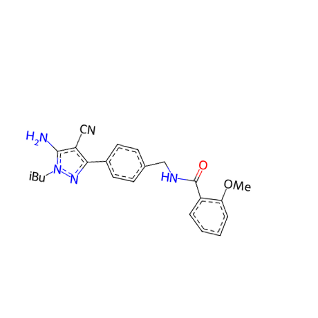 CCC(C)n1nc(-c2ccc(CNC(=O)c3ccccc3OC)cc2)c(C#N)c1N